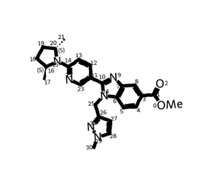 COC(=O)c1ccc2c(c1)nc(-c1ccc(N3[C@@H](C)CC[C@@H]3C)nc1)n2Cc1ccn(C)n1